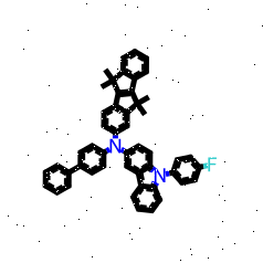 CC1(C)C2=C(c3ccccc31)C(C)(C)c1cc(N(c3ccc(-c4ccccc4)cc3)c3ccc4c(c3)c3ccccc3n4-c3ccc(F)cc3)ccc12